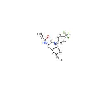 C=CC(=O)NC1Cc2cc(C)ccc2N(c2ccc(C(F)(F)F)cc2)C1